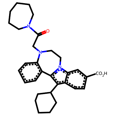 O=C(O)c1ccc2c(C3CCCCC3)c3n(c2c1)CCN(CC(=O)N1CCCCCC1)c1ccccc1-3